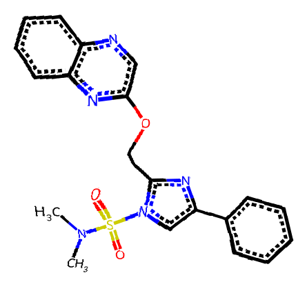 CN(C)S(=O)(=O)n1cc(-c2ccccc2)nc1COc1cnc2ccccc2n1